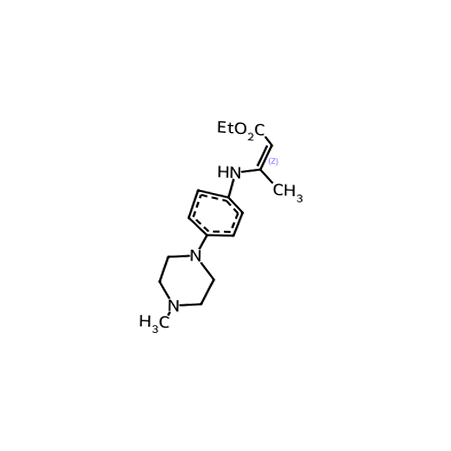 CCOC(=O)/C=C(/C)Nc1ccc(N2CCN(C)CC2)cc1